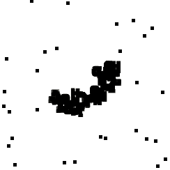 CC[C@H](C[C@@H](C)c1nnc([C@@H]2CC[C@@H]3CN2C(=O)N3O)o1)NC(=O)OC(C)(C)C